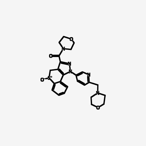 O=C(c1nn(-c2ccc(CN3CCOCC3)nc2)c2c1C[S+]([O-])c1ccccc1-2)N1CCOCC1